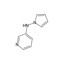 c1cncc(Nn2cccc2)c1